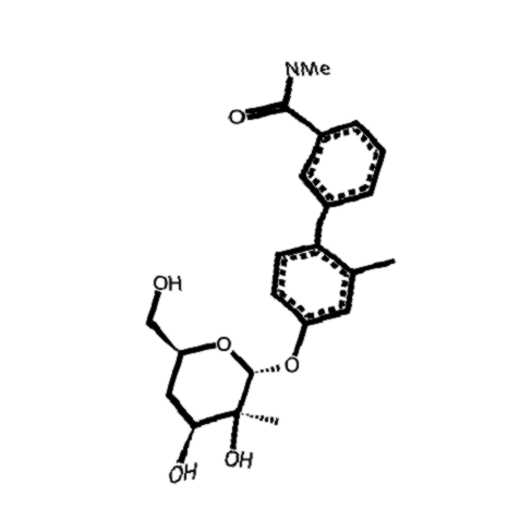 CNC(=O)c1cccc(-c2ccc(O[C@H]3O[C@H](CO)C[C@H](O)[C@]3(C)O)cc2C)c1